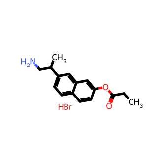 Br.CCC(=O)Oc1ccc2ccc(C(C)CN)cc2c1